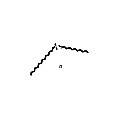 CCCCCCCCCCCCCC[N+](C)(C)CSCCCCCCCCCC.[Cl-]